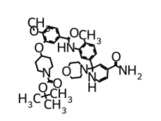 COc1ccc(C(=O)Nc2cc(C3(N4CCOCC4)C=C(C(N)=O)C=CN3)ccc2C)cc1OC1CCN(C(=O)OC(C)(C)C)CC1